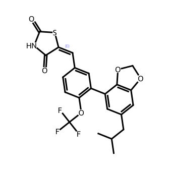 CC(C)Cc1cc2c(c(-c3cc(/C=C4/SC(=O)NC4=O)ccc3OC(F)(F)F)c1)OCO2